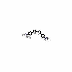 CC/N=C(\N)c1ccc(-c2ccc(-c3ccc(-c4ccc(/C(N)=N/CC)cc4)o3)o2)cc1